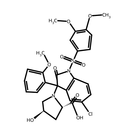 COc1ccc(S(=O)(=O)N2C(=O)C(c3ccccc3OC)(N3C[C@H](O)C[C@H]3C(=O)O)c3cc(Cl)ccc32)cc1OC